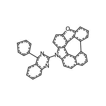 c1ccc(-c2nc(-n3c4ccc5cccc6c5c4c4c5c(ccc43)oc3cccc-6c35)nc3ccccc23)cc1